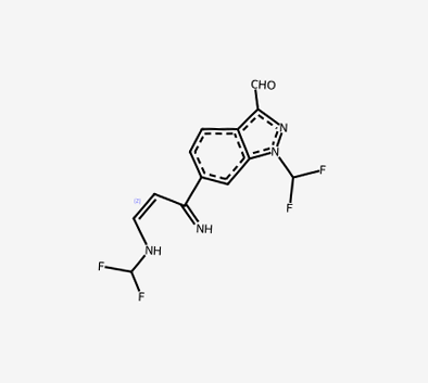 N=C(/C=C\NC(F)F)c1ccc2c(C=O)nn(C(F)F)c2c1